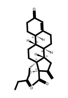 C=C1C[C@H]2[C@@H]3CCC4=CC(=O)CC[C@@H]4[C@H]3CC[C@]2(CC)[C@]1(OC(=O)CC)C(C)=O